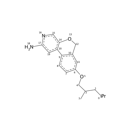 CC(C)CC(C)COc1ccc2c(c1)COc1cnc(N)cc1-2